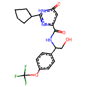 O=C(NC(CO)c1ccc(OC(F)(F)F)cc1)c1cc(=O)[nH]c(C2CCCC2)n1